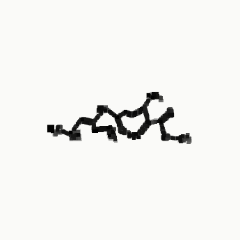 CN/C=C(\C=N)NC(=O)/C=C(/N)C(=N)C(=O)OC